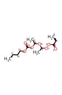 C=CC(=O)OOC(C)OC(C)OC(=O)OCCCC